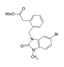 COC(=O)Cc1ccccc1Cn1c(=O)n(C)c2ccc(Br)cc21